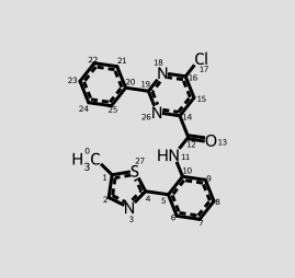 Cc1cnc(-c2ccccc2NC(=O)c2cc(Cl)nc(-c3ccccc3)n2)s1